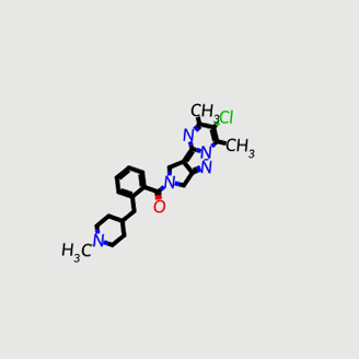 Cc1nc2c3c(nn2c(C)c1Cl)CN(C(=O)c1ccccc1CC1CCN(C)CC1)C3